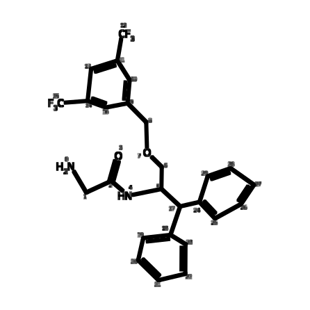 NCC(=O)NC(COCc1cc(C(F)(F)F)cc(C(F)(F)F)c1)C(c1ccccc1)c1ccccc1